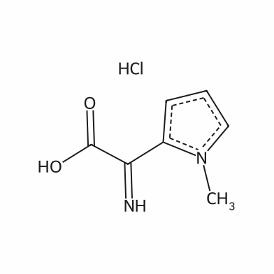 Cl.Cn1cccc1C(=N)C(=O)O